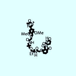 CCC(C)(COCC(C)(C)CNC(=O)COCc1c(OC)cc(-c2cn(C)c(=O)c(C)n2)cc1OC)NC(=O)COc1cccc2c1C(=O)N(C1CCC(=O)NC1=O)C2=O